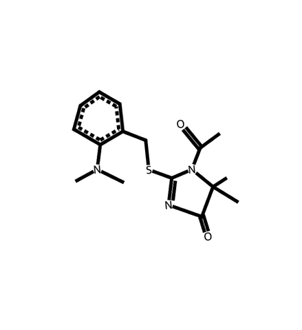 CC(=O)N1C(SCc2ccccc2N(C)C)=NC(=O)C1(C)C